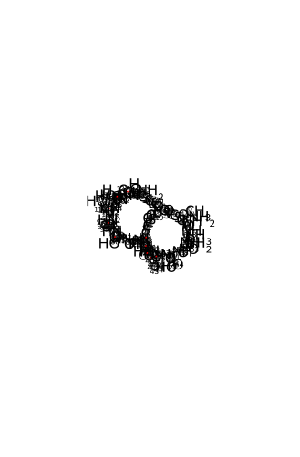 C[C@H](N)C(=O)N[C@H]1CSCCS(=O)(=O)c2cc3cc(c2)S(=O)(=O)CCSC[C@@H]2NC(=O)[C@H](NC(=O)[C@H](Cc4cccc5ccccc45)NC(=O)[C@H](CCC(=O)O)NC(=O)[C@H](CC(N)=O)NC(=O)[C@@H](C)NC1=O)[C@@H](C(=O)O)C[C@H](NC2=O)C(=O)N[C@@H](CC(=O)O)C(=O)N[C@@H](Cc1ccccc1)C(=O)N[C@@H](Cc1ccc(O)cc1)C(=O)N[C@@H](CC(=O)O)C(=O)N[C@@H](C(C)(C)C)C(=O)N[C@H](C(N)=O)CSCCS3(=O)=O